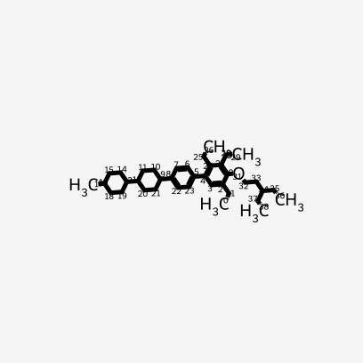 CCc1cc(-c2ccc(C3CCC(C4CCC(C)CC4)CC3)cc2)c(CC)c(CC)c1OCCC(CC)CC